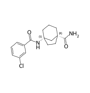 NC(=O)[C@]12CCC[C@](NC(=O)c3cccc(Cl)c3)(CC1)C2